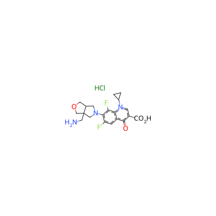 Cl.NCC12COCC1CN(c1c(F)cc3c(=O)c(C(=O)O)cn(C4CC4)c3c1F)C2